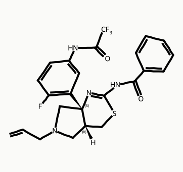 C=CCN1C[C@H]2CSC(NC(=O)c3ccccc3)=N[C@@]2(c2cc(NC(=O)C(F)(F)F)ccc2F)C1